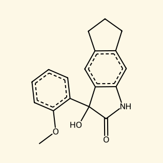 COc1ccccc1C1(O)C(=O)Nc2cc3c(cc21)CCC3